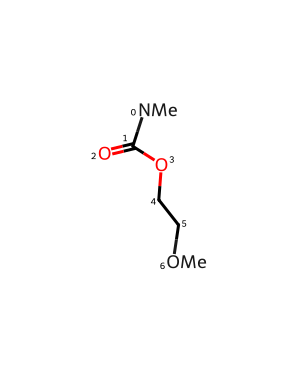 [CH2]NC(=O)OCCOC